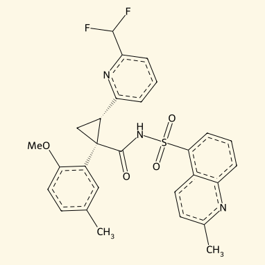 COc1ccc(C)cc1[C@]1(C(=O)NS(=O)(=O)c2cccc3nc(C)ccc23)C[C@@H]1c1cccc(C(F)F)n1